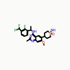 COc1cc2nc(C)nc(NC(C)c3cccc(C(F)F)c3F)c2cc1C1CCS(=N)(=O)CC1